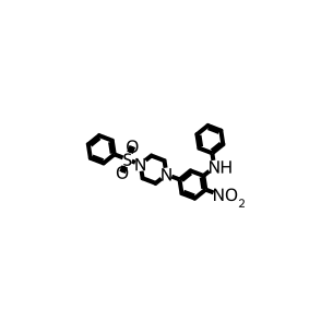 O=[N+]([O-])c1ccc(N2CCN(S(=O)(=O)c3ccccc3)CC2)cc1Nc1ccccc1